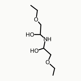 CCOCC(O)NC(O)COCC